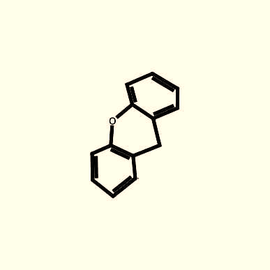 [c]1cccc2c1Cc1ccccc1O2